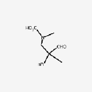 CCCC(C)(C=O)CN(C)C(=O)O